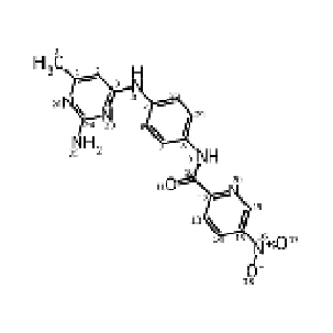 Cc1cc(Nc2ccc(NC(=O)c3ccc([N+](=O)[O-])cn3)cc2)nc(N)n1